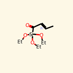 C/C=C/C(=O)[Si](OCC)(OCC)OCC